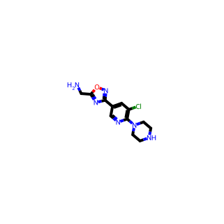 NCc1nc(-c2cnc(N3CCNCC3)c(Cl)c2)no1